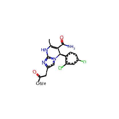 COC(=O)Cc1cn2c(n1)NC(C)=C(C(N)=O)C2c1ccc(Cl)cc1Cl